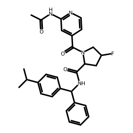 CC(=O)Nc1cc(C(=O)N2CC(F)CC2C(=O)NC(c2ccccc2)c2ccc(C(C)C)cc2)ccn1